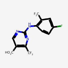 O=C(O)c1cnc(Nc2ccc(F)cc2C(F)(F)F)nc1C(F)(F)F